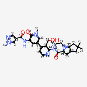 Cn1cc(C(=O)Nc2cc(-c3ccnc(N4CCn5c(cc6c5CC(C)(C)C6)C4=O)c3CO)cn(C)c2=O)cn1